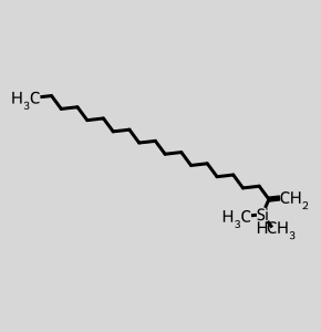 C=C(CCCCCCCCCCCCCCCCCC)[SiH](C)C